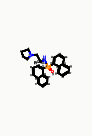 CC(C)[C@H](CN1CCCC1)NP(=O)(c1cccc2ccccc12)c1cccc2ccccc12